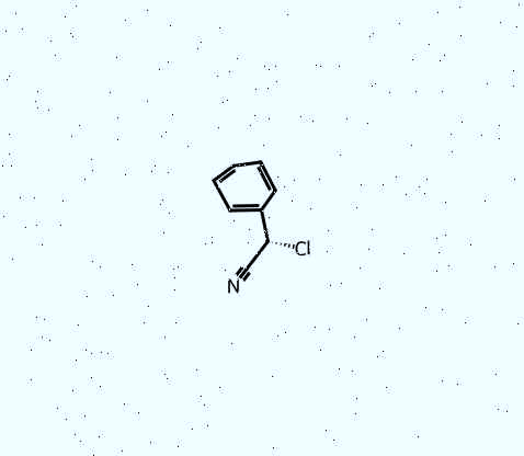 N#C[C@@H](Cl)c1ccccc1